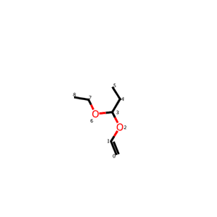 C=COC(CC)OCC